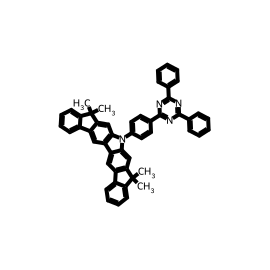 CC1(C)c2ccccc2-c2cc3c4cc5c(cc4n(-c4ccc(-c6nc(-c7ccccc7)nc(-c7ccccc7)n6)cc4)c3cc21)C(C)(C)c1ccccc1-5